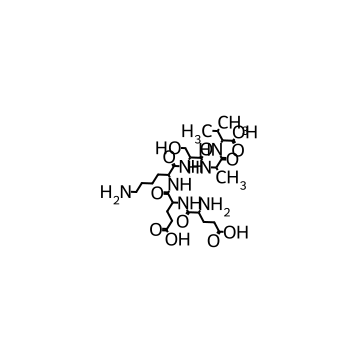 CC(NC(=O)C(CO)NC(=O)C(CCCCN)NC(=O)C(CCC(=O)O)NC(=O)C(N)CCC(=O)O)C(=O)NC(C(=O)O)C(C)C